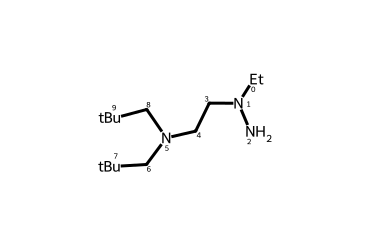 CCN(N)CCN(CC(C)(C)C)CC(C)(C)C